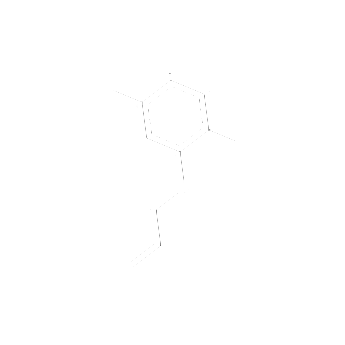 C=CCOc1cc(F)ccc1Cl